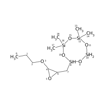 CCCOC1OC1C[SiH]1O[SiH2]O[Si](C)(C)O[Si](C)(C)O1